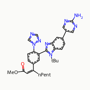 CCCCC/C(=C/C(=O)OC)c1ccc(-n2cncn2)c(-c2nc3cc(-c4cnc(N)nc4)ccc3n2C(C)(C)C)c1